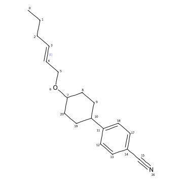 CCC/C=C/COC1CCC(c2ccc(C#N)cc2)CC1